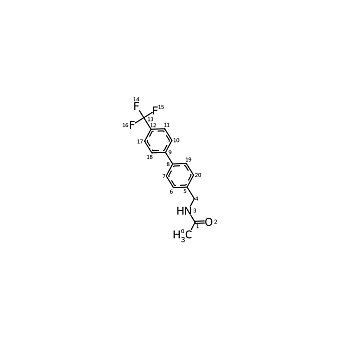 CC(=O)NCc1ccc(-c2ccc(C(F)(F)F)cc2)cc1